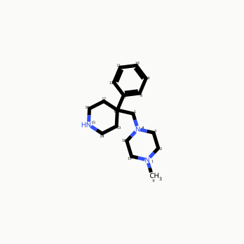 CN1CCN(CC2(c3ccccc3)CCNCC2)CC1